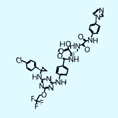 O=C(NC[C@H](NC(=O)c1ccc(Nc2nc(NC3(c4ccc(Cl)cc4)CC3)nc(OCC(F)(F)F)n2)cc1)C(=O)O)C(=O)Nc1ccc(-n2ccnc2)cc1